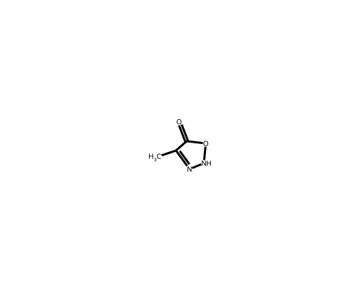 Cc1n[nH]oc1=O